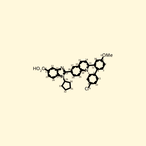 COc1ccc(-c2ccc(Cl)cc2)c(-c2ccc3cc(-c4nc5cc(C(=O)O)ccc5n4C4CCCC4)ccc3n2)c1